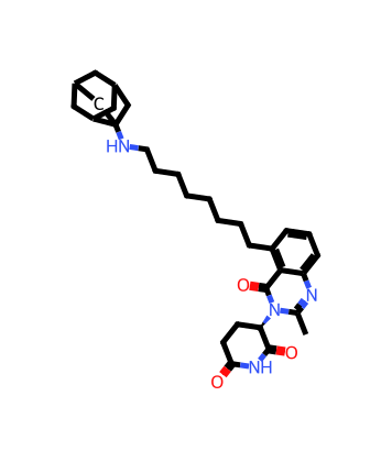 Cc1nc2cccc(CCCCCCCCNC34CC5CC(CC3C5)C4)c2c(=O)n1[C@@H]1CCC(=O)NC1=O